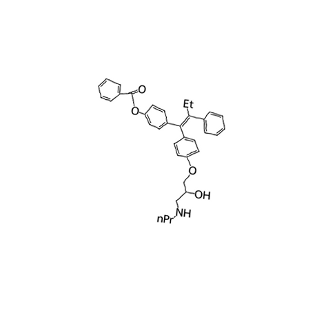 CCCNCC(O)COc1ccc(C(=C(CC)c2ccccc2)c2ccc(OC(=O)c3ccccc3)cc2)cc1